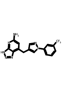 Nc1cc(Cc2cnn(-c3cccc(C(F)(F)F)c3)c2)c2nn[nH]c2n1